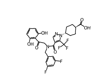 O=C(CN(Cc1cc(F)cc(F)c1)C(=O)c1cnn([C@H]2CC[C@H](C(=O)O)CC2)c1C(F)(F)F)c1c(O)cccc1O